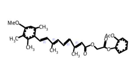 COc1cc(C)c(/C=C/C(C)=C/C=C/C(C)=C/C(=O)OCC(=O)Oc2ccccc2OC(C)=O)c(C)c1C